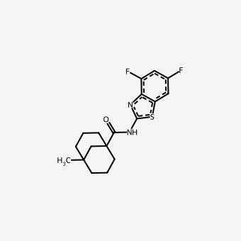 CC12CCCC(C(=O)Nc3nc4c(F)cc(F)cc4s3)(CCC1)C2